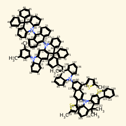 Cc1cc(C)cc(-n2c3ccccc3c3cc4c(cc32)N(c2c3ccccc3c(N3c5ccccc5C(c5ccccc5)(c5ccccc5)c5ccccc53)c3ccccc23)c2ccccc2C4(c2ccccc2)c2cccc(C[Si]3(C)c4ccccc4N(c4cc(-c5ccc(C)s5)c5cc(N6c7ccccc7C(C)(C)c7cc8c(cc76)sc6ccccc68)c(-c6ccc(C)s6)cc5c4)c4ccccc43)c2)c1